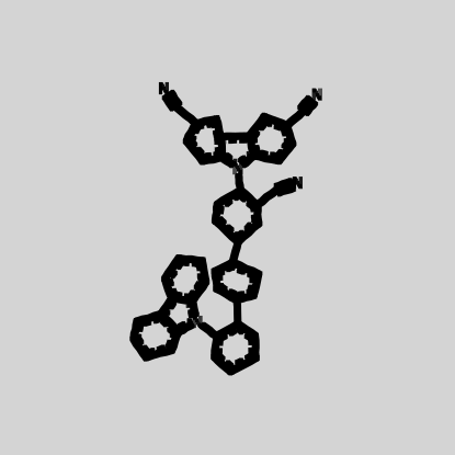 N#Cc1ccc2c(c1)c1cc(C#N)ccc1n2-c1ccc(-c2ccc(-c3ccccc3-n3c4ccccc4c4ccccc43)cc2)cc1C#N